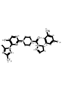 Cc1nc(C(F)(F)F)nn1-c1nc(N2CCN(C(=O)N3N=CC[C@H]3c3cc(F)cc(C#N)c3)CC2)ncc1F